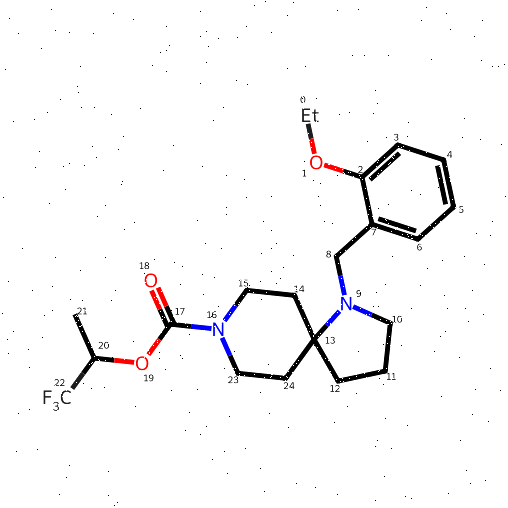 CCOc1ccccc1CN1CCCC12CCN(C(=O)OC(C)C(F)(F)F)CC2